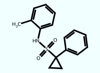 Cc1ccccc1NS(=O)(=O)C1(c2ccccc2)CC1